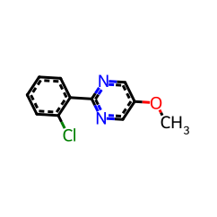 COc1cnc(-c2ccccc2Cl)nc1